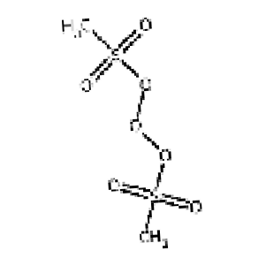 CS(=O)(=O)OOOS(C)(=O)=O